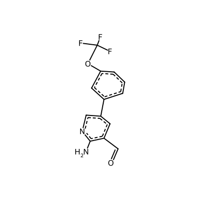 Nc1ncc(-c2cccc(OC(F)(F)F)c2)cc1C=O